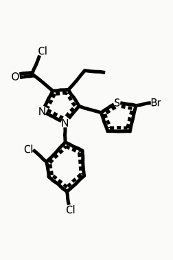 CCc1c(C(=O)Cl)nn(-c2ccc(Cl)cc2Cl)c1-c1ccc(Br)s1